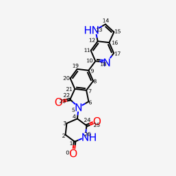 O=C1CCC(N2Cc3cc(-c4cc5[nH]ccc5cn4)ccc3C2=O)C(=O)N1